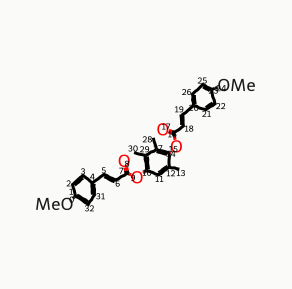 COc1ccc(/C=C/C(=O)Oc2cc(C)c(OC(=O)/C=C/c3ccc(OC)cc3)c(C)c2C)cc1